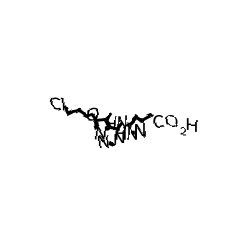 Cc1c(OCCCCl)cn2ncnc(Nc3cc(CC(=O)O)n[nH]3)c12